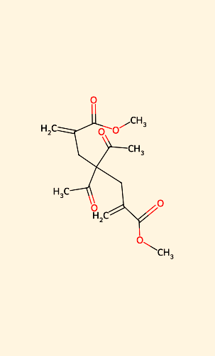 C=C(CC(CC(=C)C(=O)OC)(C(C)=O)C(C)=O)C(=O)OC